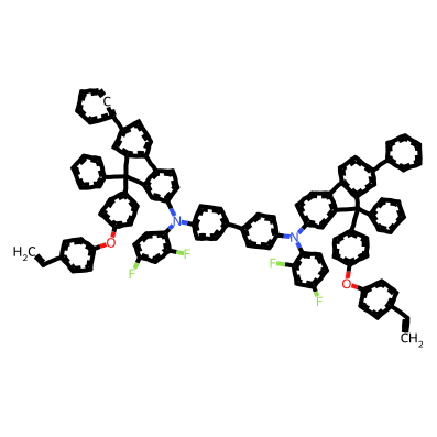 C=Cc1ccc(Oc2ccc(C3(c4ccccc4)c4cc(-c5ccccc5)ccc4-c4ccc(N(c5ccc(-c6ccc(N(c7ccc8c(c7)C(c7ccccc7)(c7ccc(Oc9ccc(C=C)cc9)cc7)c7cc(-c9ccccc9)ccc7-8)c7ccc(F)cc7F)cc6)cc5)c5ccc(F)cc5F)cc43)cc2)cc1